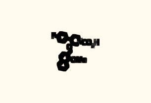 COc1c(COC2CN(C(=O)O)CCC2c2ccc(F)cc2)ccc2ccccc12